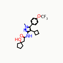 Cn1nc(NC(=O)CC2(O)CCCC2)c(C2CCC2)c1-c1ccc(OC(F)(F)F)cc1